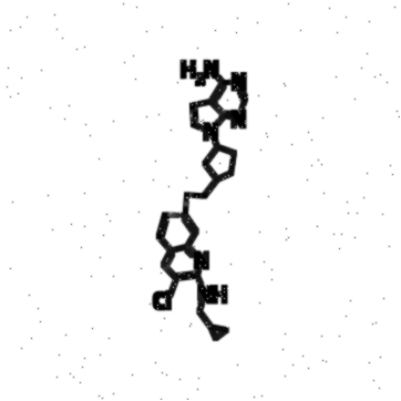 Nc1ncnc2c1ccn2C1CCC(CCc2ccc3cc(Cl)c(NCC4CC4)nc3c2)C1